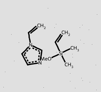 C=C[Si](C)(C)OC.C=Cn1ccnc1